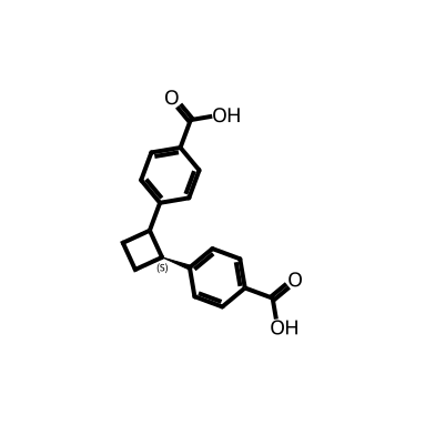 O=C(O)c1ccc(C2CC[C@@H]2c2ccc(C(=O)O)cc2)cc1